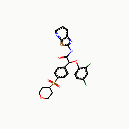 O=C(Nc1nc2cccnc2s1)C(Oc1ccc(F)cc1F)c1ccc(S(=O)(=O)C2CCOCC2)cc1